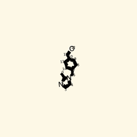 Cc1nccn1Cc1ccc(C=O)cc1